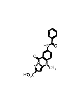 Cn1c2ccc(NC(=O)c3ccccc3)cc2c(=O)n2nc(C(=O)O)cc12